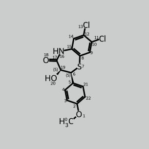 COc1ccc([C@@H]2Sc3cc(Cl)c(Cl)cc3NC(=O)[C@@H]2O)cc1